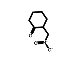 O=C1CCCCC1C[N+](=O)[O-]